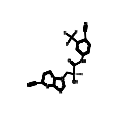 C[C@](O)(Cn1cnc2nc(C#N)ccc21)C(=O)Nc1ccc(C#N)c(C(F)(F)F)c1